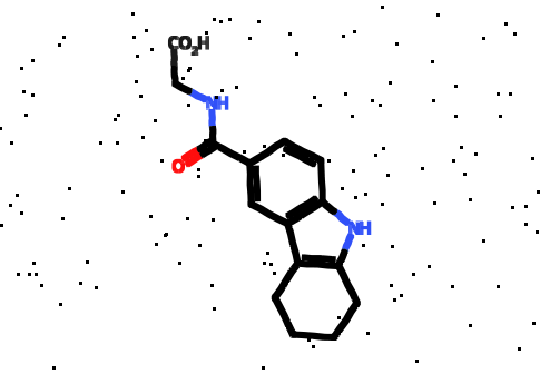 O=C(O)CNC(=O)c1ccc2[nH]c3c(c2c1)CCCC3